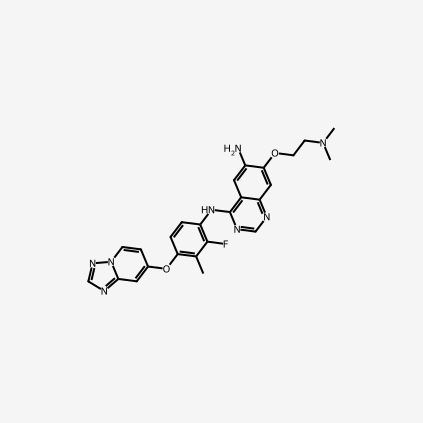 Cc1c(Oc2ccn3ncnc3c2)ccc(Nc2ncnc3cc(OCCN(C)C)c(N)cc23)c1F